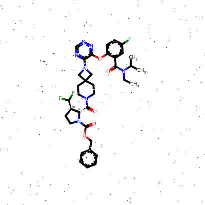 CCN(C(=O)c1cc(F)ccc1Oc1nncnc1N1CC2(CCN(C(=O)[C@H]3[C@H](C(F)F)CCN3C(=O)OCc3ccccc3)CC2)C1)C(C)C